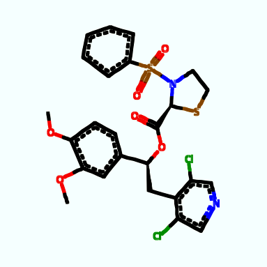 COc1ccc([C@H](Cc2c(Cl)cncc2Cl)OC(=O)[C@@H]2SCCN2S(=O)(=O)c2ccccc2)cc1OC